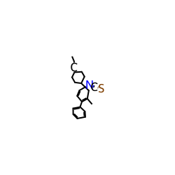 CCCC1CCC(C2(N=C=S)C=CC(c3ccccc3)=C(C)C2)CC1